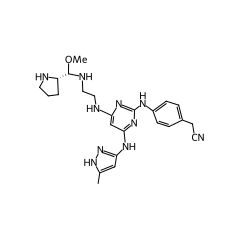 COC(NCCNc1cc(Nc2cc(C)[nH]n2)nc(Nc2ccc(CC#N)cc2)n1)[C@@H]1CCCN1